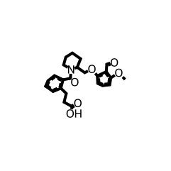 COc1cccc(OCC2CCCCN2C(=O)c2ccccc2CCC(=O)O)c1C=O